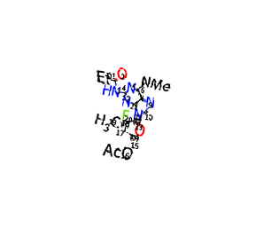 CCC(=O)Nc1nc(NC)c2ncn([C@@H]3O[C@H](COC(C)=O)C[C@@]3(C)F)c2n1